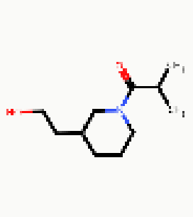 CC(C)C(=O)N1CCCC(CCO)C1